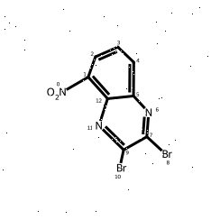 O=[N+]([O-])c1cccc2nc(Br)c(Br)nc12